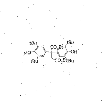 CCOC(=O)CC(C(=O)OCC)(c1cc(C(C)(C)C)c(O)c(C(C)(C)C)c1)c1cc(C(C)(C)C)c(O)c(C(C)(C)C)c1